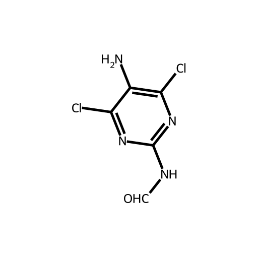 Nc1c(Cl)nc(NC=O)nc1Cl